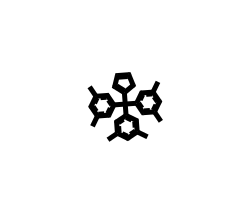 Cc1cc(C)cc(C(C2=CC=CC2)(c2cc(C)cc(C)c2)c2cc(C)cc(C)c2)c1